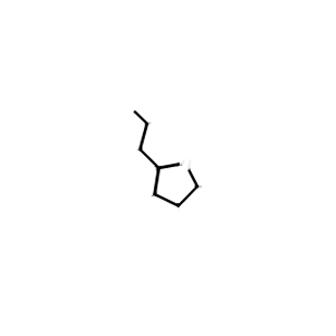 OCCC1CCCN1